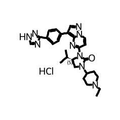 CCN1CCC(N2C[C@H](C(C)C)N(c3ccn4ncc(-c5ccc(-c6nc[nH]n6)cc5)c4n3)C2=O)CC1.Cl